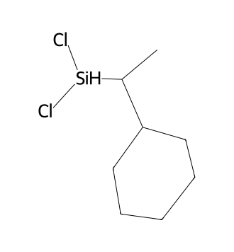 CC(C1CCCCC1)[SiH](Cl)Cl